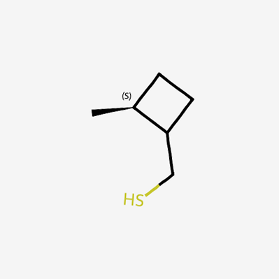 C[C@H]1CCC1CS